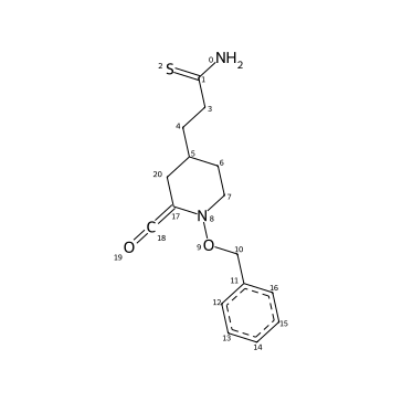 NC(=S)CCC1CCN(OCc2ccccc2)C(=C=O)C1